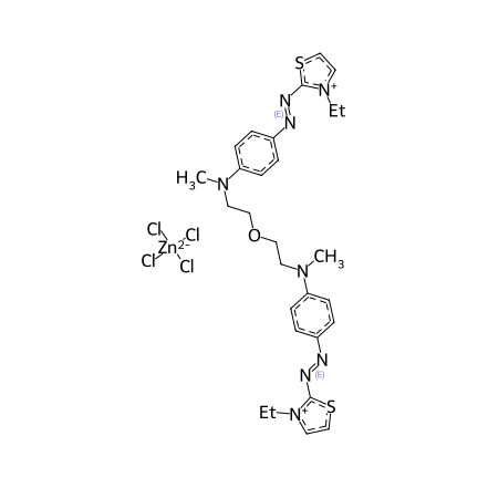 CC[n+]1ccsc1/N=N/c1ccc(N(C)CCOCCN(C)c2ccc(/N=N/c3scc[n+]3CC)cc2)cc1.[Cl][Zn-2]([Cl])([Cl])[Cl]